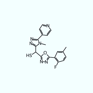 Cc1ccc(F)c(-c2nnc(C(S)c3nnc(-c4ccncc4)n3C)o2)c1